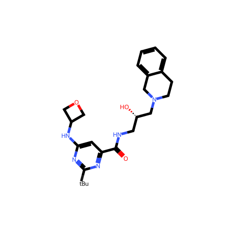 CC(C)(C)c1nc(NC2COC2)cc(C(=O)NC[C@H](O)CN2CCc3ccccc3C2)n1